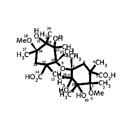 CO[C@]1(C)C(C)(C(=O)O)C[C@@](C)(O[C@]2(C)C(C)(C(=O)O)C[C@@](C)(OC)C(C)(O)C2(C)O)C(C)(O)C1(C)O